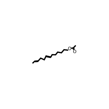 CC=CCCC=CCCCCCCOC(C)=O